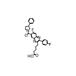 O=C(O)CCCCc1nc2cc(C(=O)N3CCC(c4ccccc4)C3)c(F)cc2nc1-c1ccc(F)cc1